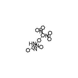 c1ccc(-c2cnc3c(c2)NC(c2ccc(-c4cc(-n5c6ccccc6c6ccccc65)cc(-n5c6ccccc6c6ccccc65)c4)cc2)N3c2ccccc2)cc1